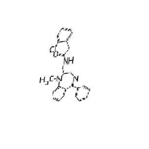 CN1c2ccccc2C(c2ccccc2)=NCC1CNC(=O)Cc1ccccc1Cl